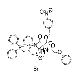 O=C(COc1ccccc1)N[C@@]1(C(=O)OCc2ccc([N+](=O)[O-])cc2)C(=O)N2C=C(C[P+](c3ccccc3)(c3ccccc3)c3ccccc3)C[S@+]([O-])[C@@H]21.[Br-]